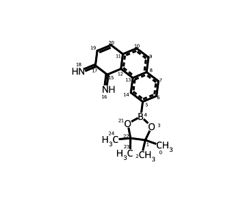 CC1(C)OB(c2ccc3ccc4c(c3c2)C(=N)C(=N)C=C4)OC1(C)C